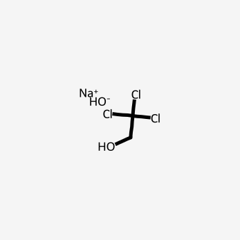 OCC(Cl)(Cl)Cl.[Na+].[OH-]